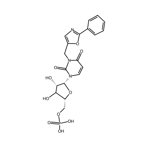 O=c1ccn([C@@H]2O[C@H](COP(=O)(O)O)C(O)[C@@H]2O)c(=O)n1Cc1cnc(-c2ccccc2)o1